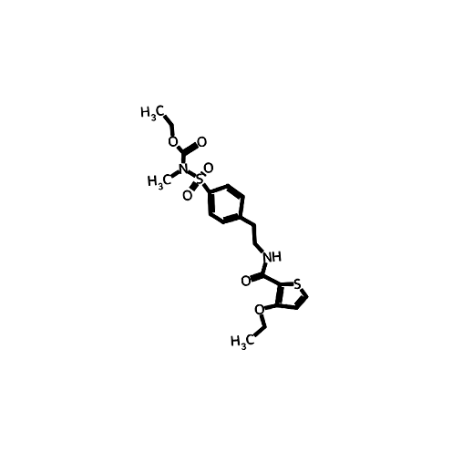 CCOC(=O)N(C)S(=O)(=O)c1ccc(CCNC(=O)c2sccc2OCC)cc1